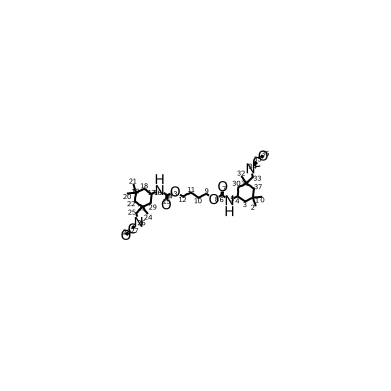 CC1(C)CC(NC(=O)OCCCCOC(=O)NC2CC(C)(C)CC(C)(CN=C=O)C2)CC(C)(CN=C=O)C1